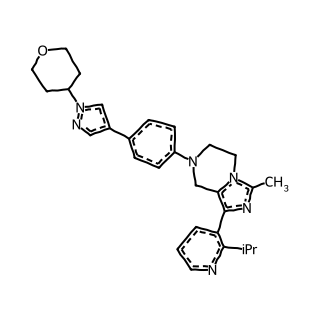 Cc1nc(-c2cccnc2C(C)C)c2n1CCN(c1ccc(-c3cnn(C4CCOCC4)c3)cc1)C2